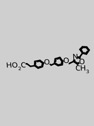 Cc1oc(-c2ccccc2)nc1COc1ccc(COc2ccc(CCC(=O)O)cc2)cc1